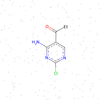 CCC(=O)c1cnc(Cl)nc1N